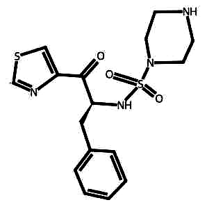 O=C(c1cs[c]n1)[C@H](Cc1ccccc1)NS(=O)(=O)N1CCNCC1